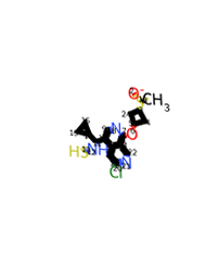 C[S+]([O-])C1CC(Oc2ncc(C(NS)C3CC3)c3cc(Cl)ncc23)C1